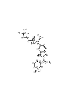 N[C@H](c1nc2ccc([C@H](NC(=O)CC3CC(F)(F)C3)C3CC3)cc2[nH]1)[C@@H]1CCCC(F)(F)C1